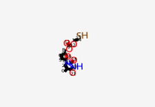 Cc1cn([C@H]2C=C[C@@H](COC(=O)OCCS)O2)c(=O)[nH]c1=O